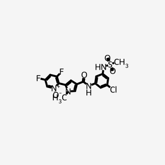 Cn1cc(C(=O)Nc2cc(Cl)cc(NS(C)(=O)=O)c2)cc1-c1c(F)cc(F)c[n+]1[O-]